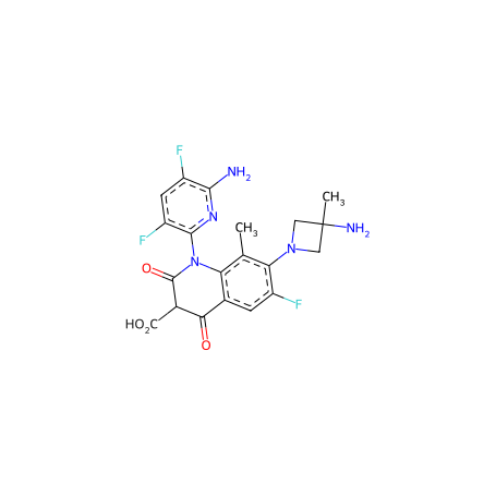 Cc1c(N2CC(C)(N)C2)c(F)cc2c1N(c1nc(N)c(F)cc1F)C(=O)C(C(=O)O)C2=O